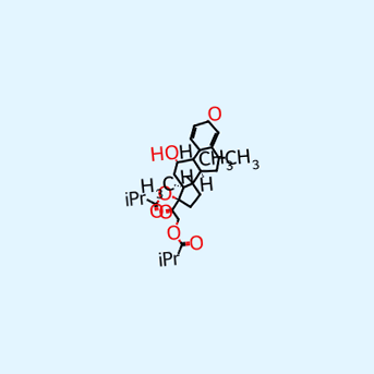 CC(C)C(=O)OCC(=O)[C@@]1(OC(=O)C(C)C)CC[C@H]2[C@@H]3C[C@H](C)C4=CC(=O)C=C[C@]4(C)[C@H]3[C@@H](O)C[C@@]21C